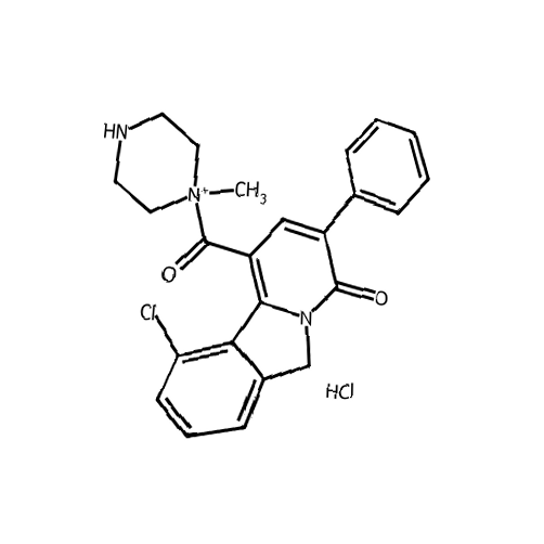 C[N+]1(C(=O)c2cc(-c3ccccc3)c(=O)n3c2-c2c(Cl)cccc2C3)CCNCC1.Cl